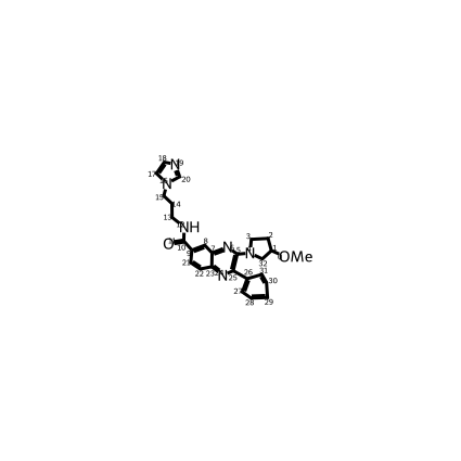 COC1CCN(c2nc3cc(C(=O)NCCCn4ccnc4)ccc3nc2-c2ccccc2)C1